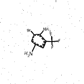 Nc1cc(Br)c(N)c(C(F)(F)F)c1